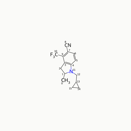 CC1Cc2c(ccc(C#N)c2C(F)(F)F)N1CC1CC1